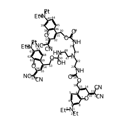 CCN(CC)c1ccc2c(c1)OC(=C(C#N)C#N)C=C2COC(=O)NCCN(CCNC(=O)OCC1=CC(=C(C#N)C#N)Oc2cc(N(CC)CC)ccc21)CCNC(O)OCC1=CC(=C(C#N)C#N)Oc2cc(N(CC)CC)ccc21